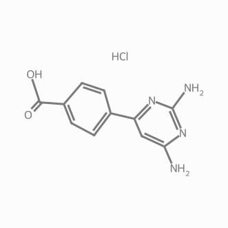 Cl.Nc1cc(-c2ccc(C(=O)O)cc2)nc(N)n1